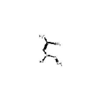 C=NN(/C=C(/C)N)C(C)(C)C